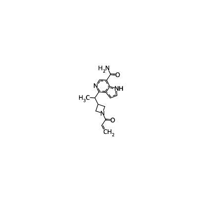 C=CC(=O)N1CC(C(C)c2ncc(C(N)=O)c3[nH]ccc23)C1